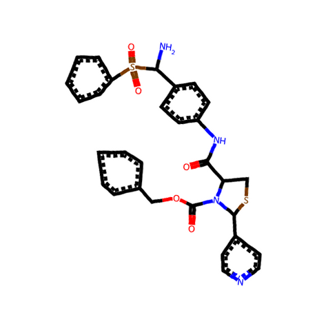 NC(c1ccc(NC(=O)C2CSC(c3ccncc3)N2C(=O)OCc2ccccc2)cc1)S(=O)(=O)c1ccccc1